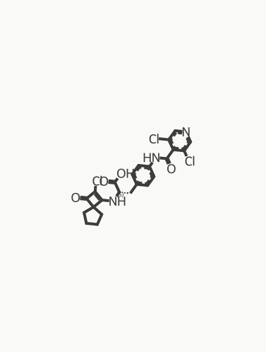 O=C(Nc1ccc(C[C@H](NC2=C(Cl)C(=O)C23CCCC3)C(=O)O)cc1)c1c(Cl)cncc1Cl